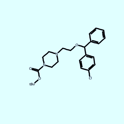 CC(C)(C)OC(=O)N1CCN(CCOC(c2ccccc2)c2ccc(Cl)cc2)CC1